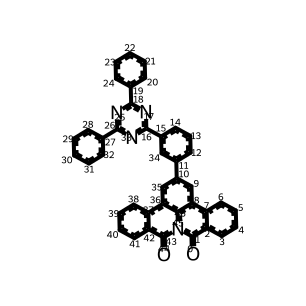 O=c1c2ccccc2c2cc(-c3cccc(-c4nc(-c5ccccc5)nc(-c5ccccc5)n4)c3)cc3c4ccccc4c(=O)n1c23